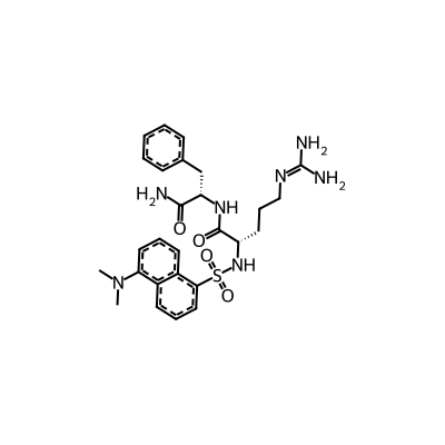 CN(C)c1cccc2c(S(=O)(=O)N[C@@H](CCCN=C(N)N)C(=O)N[C@@H](Cc3ccccc3)C(N)=O)cccc12